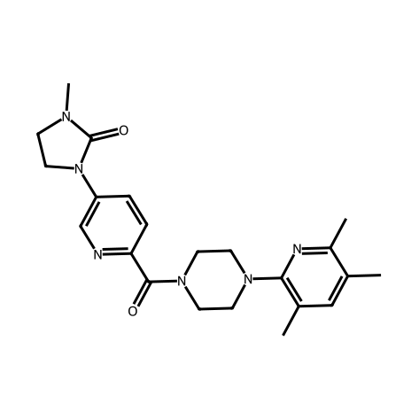 Cc1cc(C)c(N2CCN(C(=O)c3ccc(N4CCN(C)C4=O)cn3)CC2)nc1C